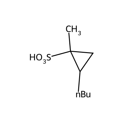 CCCCC1CC1(C)S(=O)(=O)O